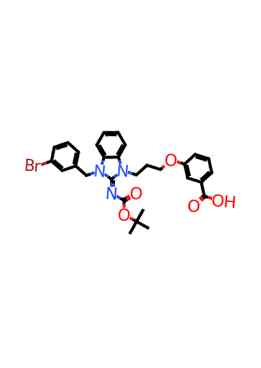 CC(C)(C)OC(=O)/N=c1\n(CCCOc2cccc(C(=O)O)c2)c2ccccc2n1Cc1cccc(Br)c1